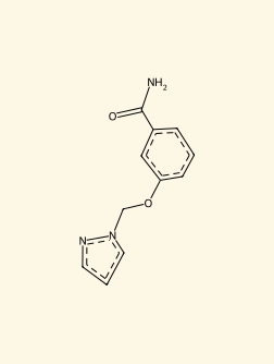 NC(=O)c1cccc(OCn2cccn2)c1